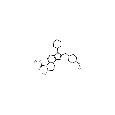 COC(=O)N1c2ccc3c(nc(CC4CCC(OC)CC4)n3C3CCCCC3)c2CC[C@@H]1C